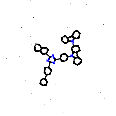 c1ccc(-c2ccc(-c3nc(-c4ccc(-n5c6ccccc6c6ccc(-n7c8ccccc8c8ccccc87)cc65)cc4)nc(-c4ccc5ccccc5c4)n3)cc2)cc1